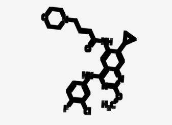 COc1nc(Nc2ccc(F)c(Cl)c2)c2cc(NC(=O)C=CCN3CCOCC3)c(C3CC3)cc2n1